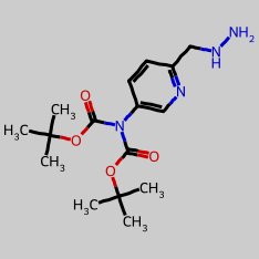 CC(C)(C)OC(=O)N(C(=O)OC(C)(C)C)c1ccc(CNN)nc1